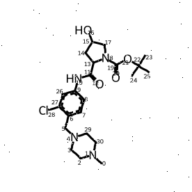 CN1CCN(Cc2ccc(NC(=O)C3CC(O)CN3C(=O)OC(C)(C)C)cc2Cl)CC1